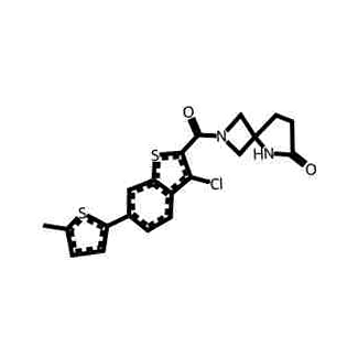 Cc1ccc(-c2ccc3c(Cl)c(C(=O)N4CC5(CCC(=O)N5)C4)sc3c2)s1